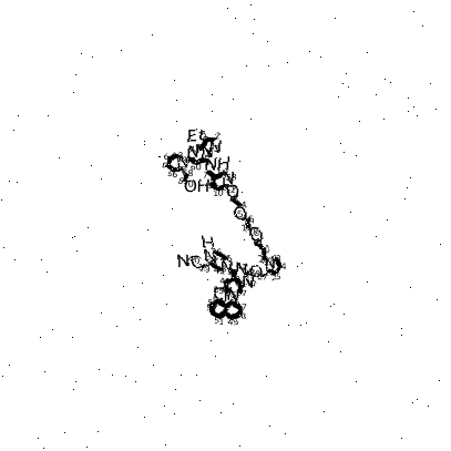 CCc1cnn2c(NCc3ccc(OCCOCCOCCCN4CCC[C@H]4COc4nc5c(c(N6CCN[C@@H](CC#N)C6)n4)CCN(c4cccc6cccc(Cl)c46)C5)nc3)cc(N3CCCC[C@H]3CCO)nc12